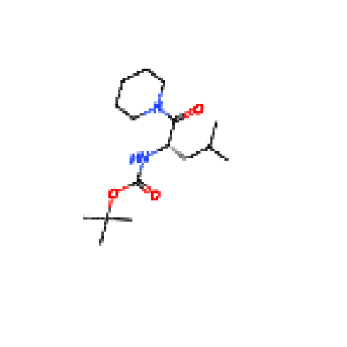 CC(C)C[C@H](NC(=O)OC(C)(C)C)C(=O)N1CCCCC1